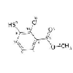 COC(=O)c1cccc(S)c1Cl